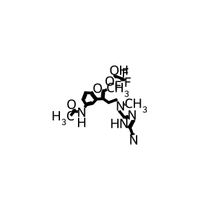 CC(=O)Nc1ccc2oc(C)c(CCN(C)Cc3ncc(C#N)[nH]3)c2c1.O=C(O)C(F)(F)F